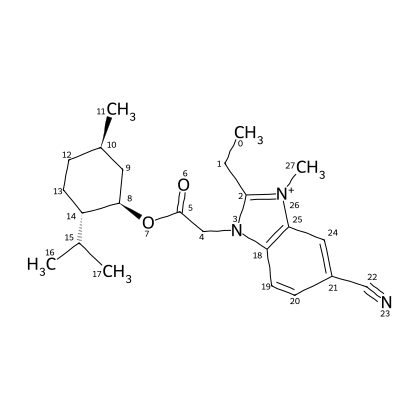 CCc1n(CC(=O)O[C@@H]2C[C@H](C)CC[C@H]2C(C)C)c2ccc(C#N)cc2[n+]1C